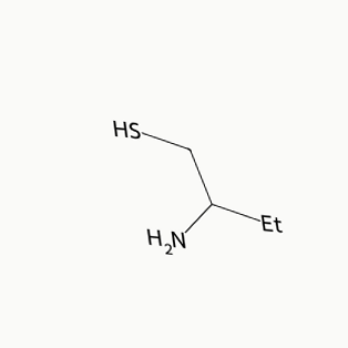 CCC(N)CS